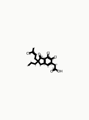 CCCC1(CC=C(C)Cl)Cc2cc(CC(=O)O)c(Cl)c(Cl)c2C1=O